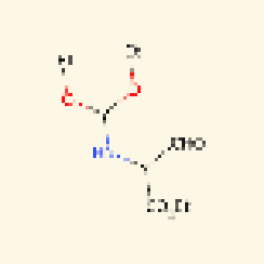 CCOC(=O)C(C=O)NC(OCC)OCC